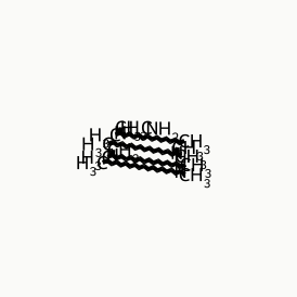 CCCCCCCCCCCCCCCCCNC.CCCCCCCCCCCCCCCCN(C)C.CCCCCCCCCCCCCCCN(C)C.CCCCCCCCCCCCCCN(C)C.CN